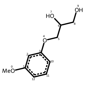 COc1[c]c(OCC(O)CO)ccc1